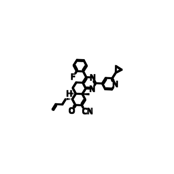 C=CCC[C@H]1C(=O)C(C#N)=C[C@@]2(C)c3nc(-c4ccnc(C5CC5)c4)nc(-c4ccccc4F)c3CC[C@H]12